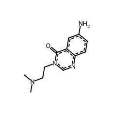 CN(C)CCn1cnc2ccc(N)cc2c1=O